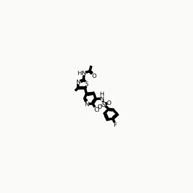 CC(=O)Nc1nc(C)c(-c2cnc(Cl)c(NS(=O)(=O)c3ccc(F)cc3)c2)s1